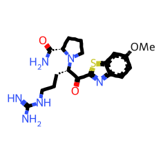 COc1ccc2nc(C(=O)[C@H](CCCNC(=N)N)N3CCC[C@H]3C(N)=O)sc2c1